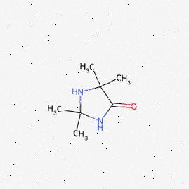 CC1(C)NC(=O)C(C)(C)N1